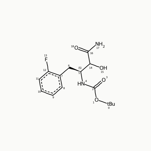 CC(C)(C)OC(=O)N[C@@H](Cc1ccccc1F)C(O)C(N)=O